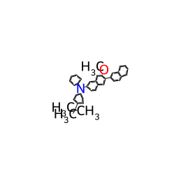 COc1cc2cc(N(c3ccccc3)c3ccc(C(C)(C)C)cc3)ccc2cc1-c1ccc2ccccc2c1